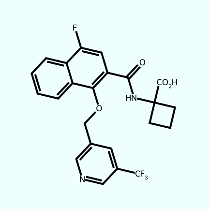 O=C(NC1(C(=O)O)CCC1)c1cc(F)c2ccccc2c1OCc1cncc(C(F)(F)F)c1